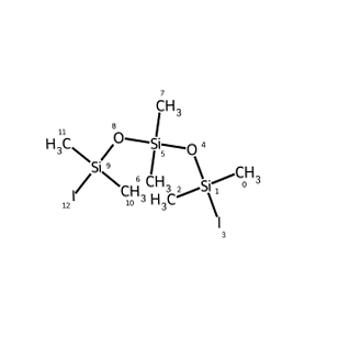 C[Si](C)(I)O[Si](C)(C)O[Si](C)(C)I